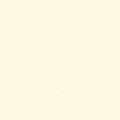 BrCCCCCCCCCCC=CC[P+](c1ccccc1)(c1ccccc1)c1ccccc1.[I-]